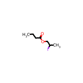 CCCC(=O)OCC(C)I